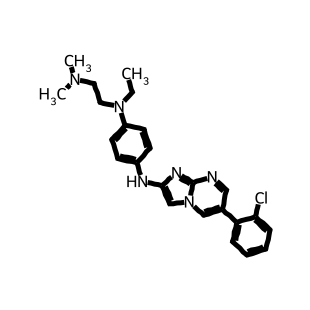 CCN(CCN(C)C)c1ccc(Nc2cn3cc(-c4ccccc4Cl)cnc3n2)cc1